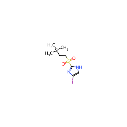 C[Si](C)(C)CCS(=O)(=O)c1nc(I)c[nH]1